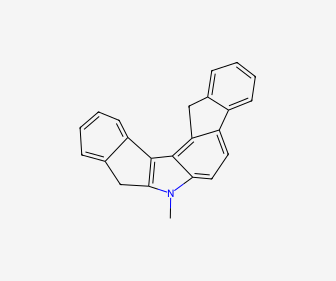 Cn1c2c(c3c4c(ccc31)-c1ccccc1C4)-c1ccccc1C2